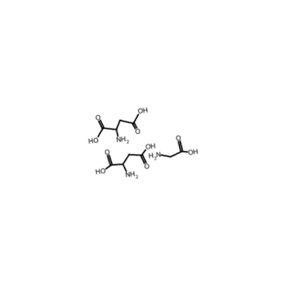 NC(CC(=O)O)C(=O)O.NC(CC(=O)O)C(=O)O.NCC(=O)O